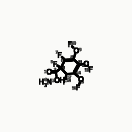 N.O=C(O)C1(F)C(F)=C(OF)C(OF)=C(OF)C1F